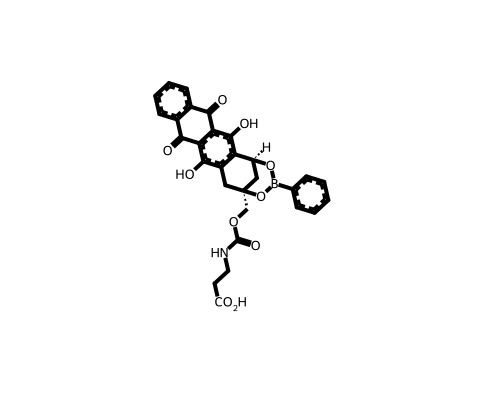 O=C(O)CCNC(=O)OC[C@]12Cc3c(O)c4c(c(O)c3[C@H](C1)OB(c1ccccc1)O2)C(=O)c1ccccc1C4=O